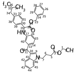 CCOC(=O)CCCn1cc(C(=O)c2cccc(NC(C(=O)OCc3ccccc3)c3ccc(CC(C)C)cc3)c2)c2ccccc21